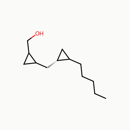 CCCCCC1C[C@H]1CC1CC1CO